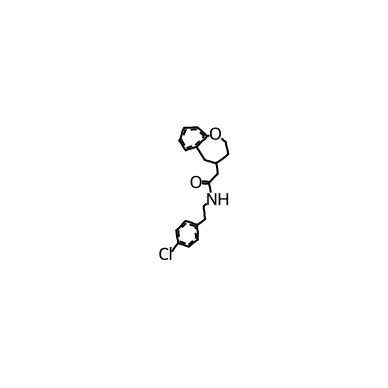 O=C(CC1CCOc2ccccc2C1)NCCc1ccc(Cl)cc1